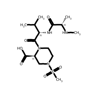 CN[C@@H](C)C(=O)N[C@H](C(=O)N1CCN(S(C)(=O)=O)C[C@H]1C(=O)O)C(C)C